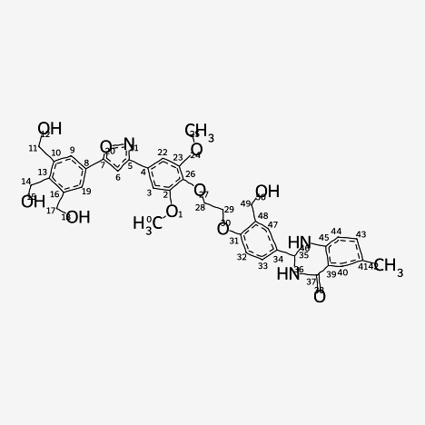 COc1cc(-c2cc(-c3cc(CO)c(CO)c(CO)c3)on2)cc(OC)c1OCCOc1ccc(C2NC(=O)c3cc(C)ccc3N2)cc1CO